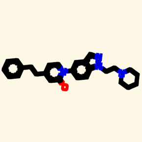 O=c1cc(CCc2ccccc2)ccn1-c1ccc2c(cnn2CCN2CCCCC2)c1